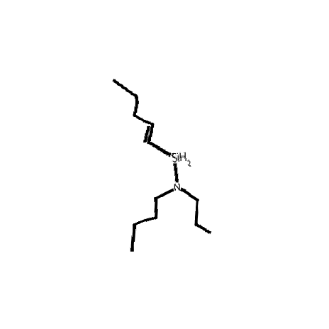 CCCC=C[SiH2]N(CCC)CCCC